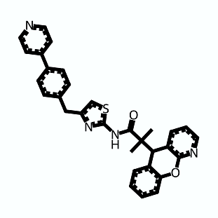 CC(C)(C(=O)Nc1nc(Cc2ccc(-c3ccncc3)cc2)cs1)C1c2ccccc2Oc2ncccc21